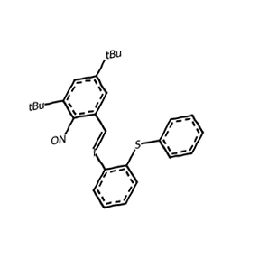 CC(C)(C)c1cc(/C=I/c2ccccc2Sc2ccccc2)c(N=O)c(C(C)(C)C)c1